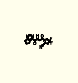 N#CC1CC(F)(F)CN1C(=O)CNC(=O)c1ncnc2c1CCC2